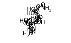 NC(=O)C1=CN([C@@H]2O[C@H](COP(=O)(O)OP(=O)(O)OC[C@H]3O[C@@H](n4cnc5c(N)ncnc54)[C@H](OP(=O)(O)O)[C@@H]3O)[C@H](O)[C@H]2O)C=CC1